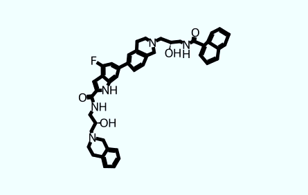 O=C(NC[C@H](O)CN1CCc2ccccc2C1)c1cc2c(F)cc(-c3ccc4c(c3)CCN(C[C@@H](O)CNC(=O)c3cccc5ccccc35)C4)cc2[nH]1